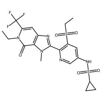 CCn1c(C(F)(F)F)cc2nc(-c3ncc(NS(=O)(=O)C4CC4)cc3S(=O)(=O)CC)n(C)c2c1=O